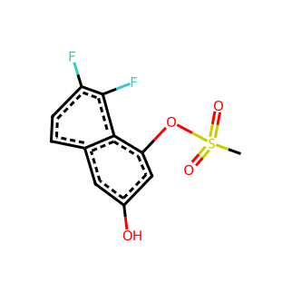 CS(=O)(=O)Oc1cc(O)cc2ccc(F)c(F)c12